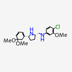 COc1cc(NC[C@@H]2CC[C@H](C3=CC=CC(OC)(OC)C3)N2)ccc1Cl